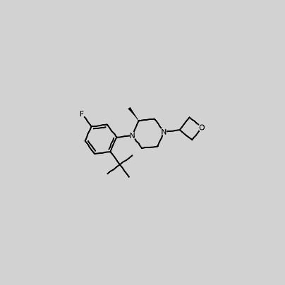 C[C@H]1CN(C2COC2)CCN1c1cc(F)ccc1C(C)(C)C